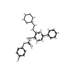 O=C(Cc1ccc(I)cc1)Nc1ncc(-c2ccccc2)nc1CCC1CCCCC1